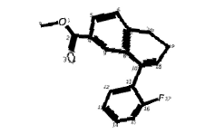 COC(=O)c1ccc2c(c1)C(c1ccccc1F)=CCC2